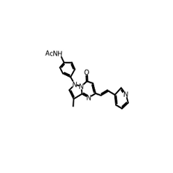 CC(=O)Nc1ccc(-n2cc(C)c3nc(/C=C/c4cccnc4)cc(=O)n32)cc1